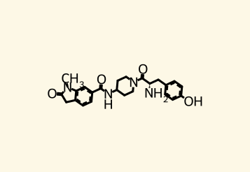 CN1C(=O)Cc2ccc(C(=O)NC3CCN(C(=O)[C@@H](N)Cc4ccc(O)cc4)CC3)cc21